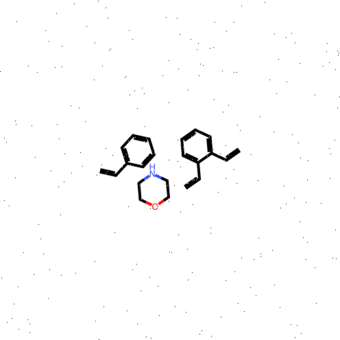 C1COCCN1.C=Cc1ccccc1.C=Cc1ccccc1C=C